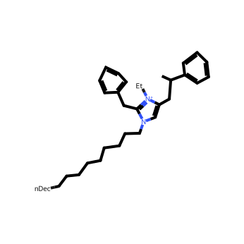 CCCCCCCCCCCCCCCCCCCn1cc(CC(C)c2ccccc2)[n+](CC)c1Cc1ccccc1